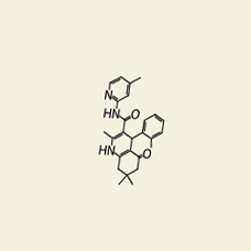 CC1=C(C(=O)Nc2cc(C)ccn2)C(c2ccccc2C)C2=C(CC(C)(C)CC2=O)N1